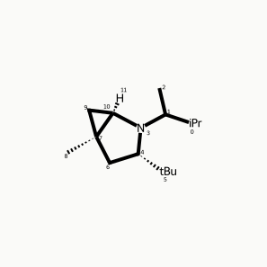 CC(C)C(C)N1[C@H](C(C)(C)C)C[C@@]2(C)C[C@@H]12